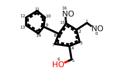 O=NCc1cc(CO)cc(-c2ccccc2)c1N=O